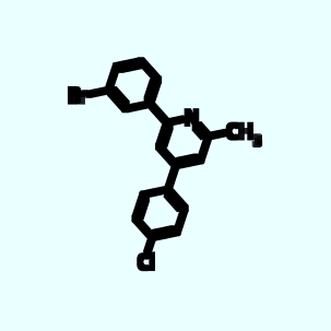 Cc1cc(-c2ccc(Cl)cc2)cc(-c2cccc(Br)c2)n1